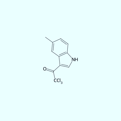 Cc1ccc2[nH]cc(C(=O)C(Cl)(Cl)Cl)c2c1